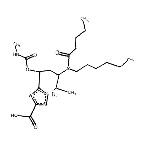 CCCCCCN(C(=O)CCCC)C(CC(OC(=O)NC)c1nc(C(=O)O)cs1)C(C)C